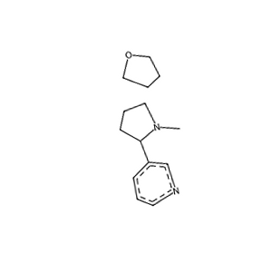 C1CCOC1.CN1CCCC1c1cccnc1